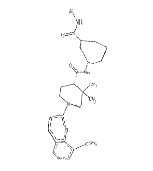 CCNC(=O)C1CCCC(NC(=O)[C@H]2CCN(c3ccc4cccc(C)c4n3)CC2(C)C)C1